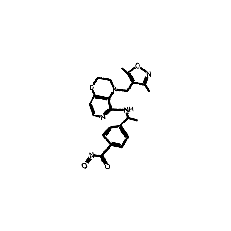 Cc1noc(C)c1CN1CCOc2ccnc(NC(C)c3ccc(C(=O)N=O)cc3)c21